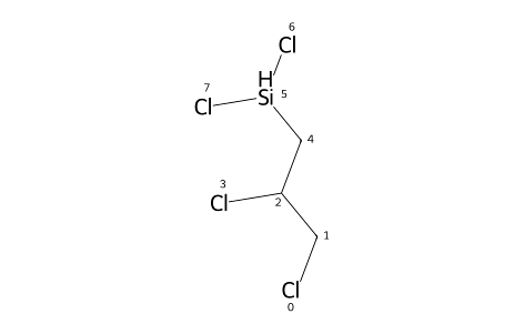 ClCC(Cl)C[SiH](Cl)Cl